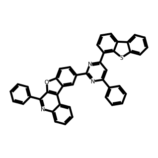 c1ccc(-c2cc(-c3cccc4c3sc3ccccc34)nc(-c3ccc4oc5c(-c6ccccc6)nc6ccccc6c5c4c3)n2)cc1